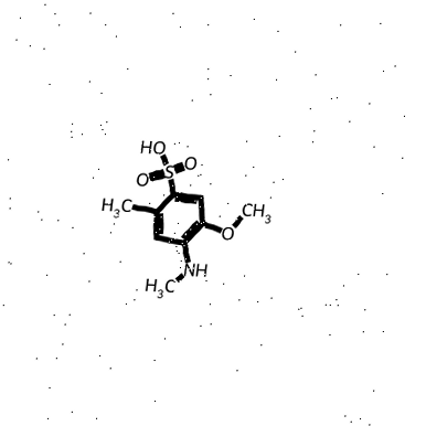 CNc1cc(C)c(S(=O)(=O)O)cc1OC